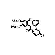 COc1cc(Cl)c(CC(=O)N2C=CC(=O)CC2c2ccccc2)cc1OC